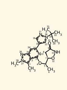 Cc1c2c(O[C@H](C)[C@H]3CC(=O)NO3)nc(-c3cnn(C(C)(C)C)c3)cc2nn1C